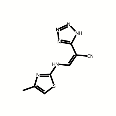 Cc1csc(N/C=C(/C#N)c2nnn[nH]2)n1